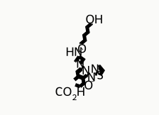 Cc1cc(N2CC(NOCCCCCCO)C2)nc(N(C)c2nccs2)c1C(=O)C(C)C(=O)O